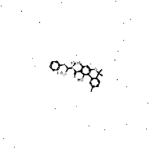 CCCCCc1cc2c(c(O)c1C(=O)N(C)C(Cc1ccccc1)C(=O)O)-c1cc(C)ccc1C(C)(C)O2